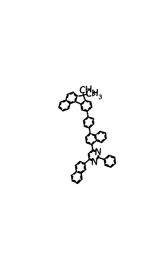 CC1(C)c2ccc(-c3ccc(-c4ccc(-c5cc(-c6ccc7ccccc7c6)nc(-c6ccccc6)n5)c5ccccc45)cc3)cc2-c2c1ccc1ccccc21